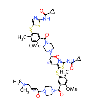 COc1cc(C)c(Sc2cnc(NC(=O)C3CC3)s2)cc1C(=O)N1CCN(C(=O)/C=C\c2nc(NC(=O)C3CC3)sc2Sc2cc(C(=O)N3CCN(C(=O)/C=C/CN(C)C)CC3)c(OC)cc2C)CC1